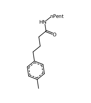 CCCCCNC(=O)CCCc1ccc(C)cc1